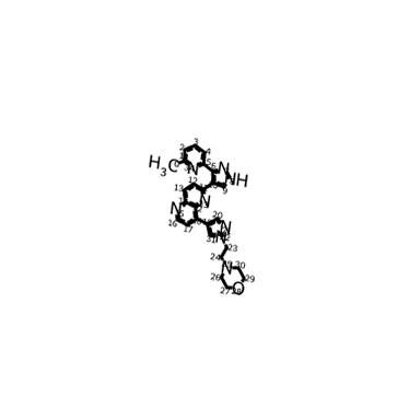 Cc1cccc(-c2n[nH]cc2-c2ccc3nccc(-c4cnn(CCN5CCOCC5)c4)c3n2)n1